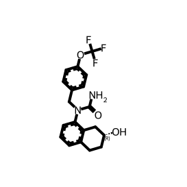 NC(=O)N(Cc1ccc(OC(F)(F)F)cc1)c1cccc2c1C[C@H](O)CC2